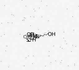 O=C(O[C@H]1C[N+]2(CCCCCCO)CCC1CC2)[C@](O)(c1cccs1)C1CCCC1